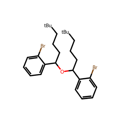 CC(C)(C)CCCC(OC(CCCC(C)(C)C)c1ccccc1Br)c1ccccc1Br